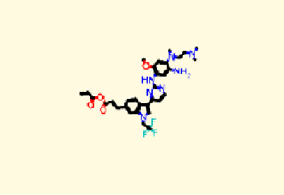 C=CC(=O)OC(=O)/C=C/c1ccc2c(-c3ccnc(Nc4cc(N)c(N(C)CCN(C)C)cc4OC)n3)cn(CC(F)(F)F)c2c1